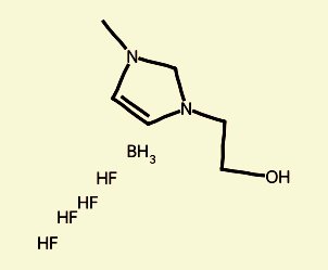 B.CN1C=CN(CCO)C1.F.F.F.F